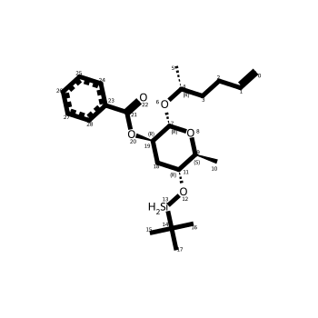 C=CCC[C@@H](C)O[C@@H]1O[C@@H](C)[C@H](O[SiH2]C(C)(C)C)C[C@H]1OC(=O)c1ccccc1